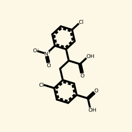 O=C(O)c1ccc(Cl)c(CC(C(=O)O)c2cc(Cl)ccc2[N+](=O)[O-])c1